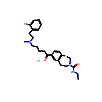 CCNC(=O)N1CCc2ccc(C(=O)CCCCN(C)CCc3ccccc3Cl)cc2CC1.Cl